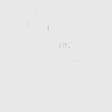 CNC1=C(c2cc(C(F)(F)F)ccc2C)C(=O)C(c2ccccc2)O1